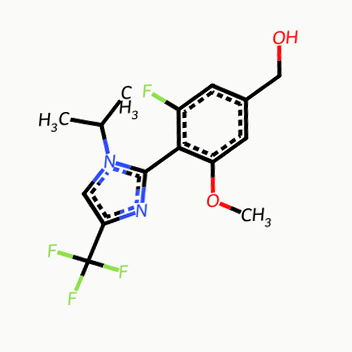 COc1cc(CO)cc(F)c1-c1nc(C(F)(F)F)cn1C(C)C